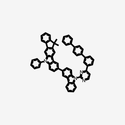 CC1(C)c2ccccc2-c2cc3c(cc21)c1cc(-c2ccc4c(c2)c2ccccc2n4-c2nccc(-c4cccc(-c5ccc(-c6ccccc6)cc5)c4)n2)ccc1n3-c1ccccc1